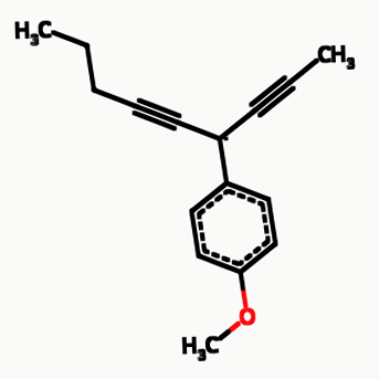 CC#C[C](C#CCCC)c1ccc(OC)cc1